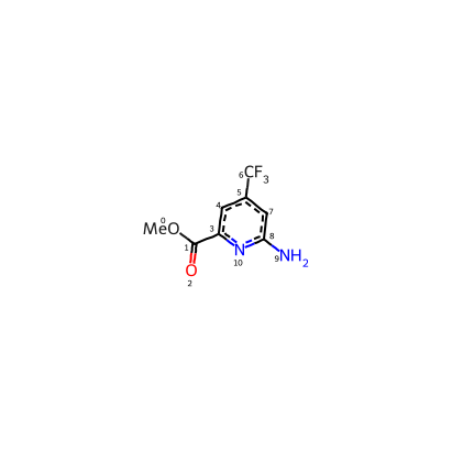 COC(=O)c1cc(C(F)(F)F)cc(N)n1